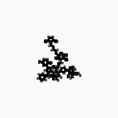 CC(C)(C)OC(=O)N1CCC(CN(C(=O)CSC[C@H](NC(=O)CCCCCN2C(=O)C=CC2=O)C(=O)O)[C@@H](c2cc(-c3cc(F)ccc3F)cn2Cc2ccccc2)C(C)(C)C)C1